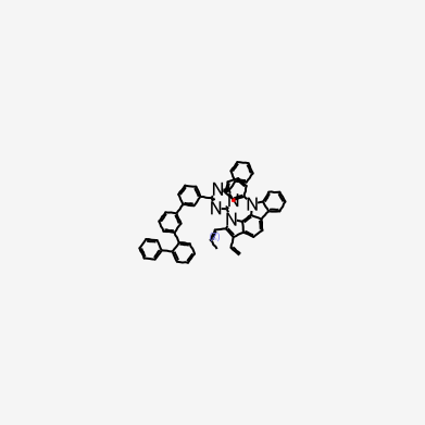 C=Cc1c(/C=C\C)n(-c2nc(-c3ccccc3)nc(-c3cccc(-c4cccc(-c5ccccc5-c5ccccc5)c4)c3)n2)c2c1ccc1c3ccccc3n(-c3ccccc3)c12